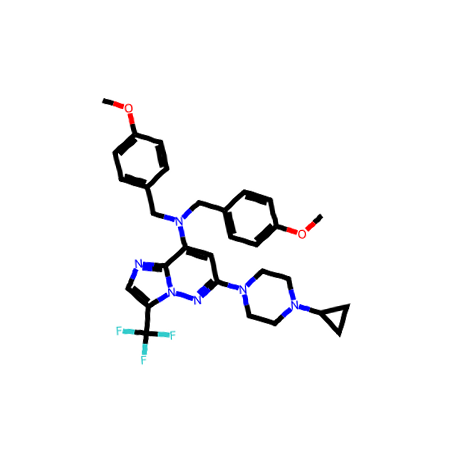 COc1ccc(CN(Cc2ccc(OC)cc2)c2cc(N3CCN(C4CC4)CC3)nn3c(C(F)(F)F)cnc23)cc1